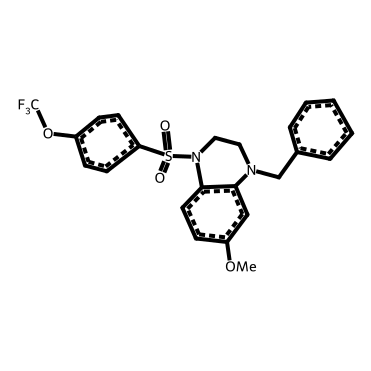 COc1ccc2c(c1)N(Cc1ccccc1)CCN2S(=O)(=O)c1ccc(OC(F)(F)F)cc1